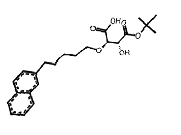 CC(C)(C)OC(=O)[C@H](O)[C@@H](OCCCCCc1ccc2ccccc2c1)C(=O)O